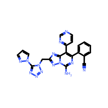 N#Cc1ccccc1-c1nc(N)n2nc(Cn3nnnc3-n3cccn3)nc2c1-c1ccncn1